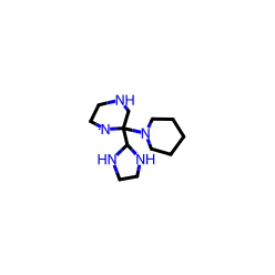 C1CCN(C2(C3NCCN3)CNCC[N]2)CC1